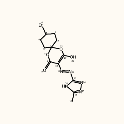 CCC1CCC2(CC1)OC(=O)C(N=Nc1nnc(C)[nH]1)=C(O)O2